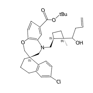 C=CCC(O)[C@]1(C)CC[C@@H]1CN1C[C@@]2(CCCc3cc(Cl)ccc32)COc2ccc(C(=O)OC(C)(C)C)cc21